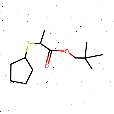 CC(SC1CCCC1)C(=O)OCC(C)(C)C